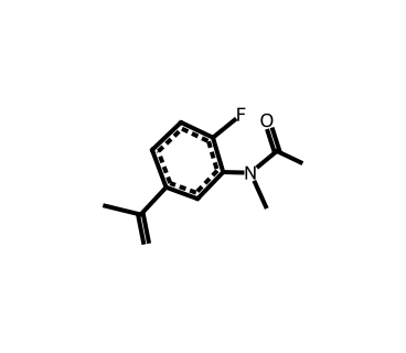 C=C(C)c1ccc(F)c(N(C)C(C)=O)c1